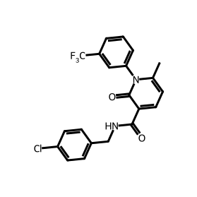 Cc1ccc(C(=O)NCc2ccc(Cl)cc2)c(=O)n1-c1cccc(C(F)(F)F)c1